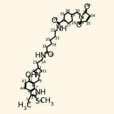 CCc1c(SC)[nH]c2c(CN3CC(CCNC(=O)CCCCCNC(=O)C4CCC(CN5C(=O)C=CC5=O)CC4)C3)c(O)ccc12